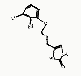 CCc1cccc(OCSCc2c[nH]c(=O)[nH]2)c1CC